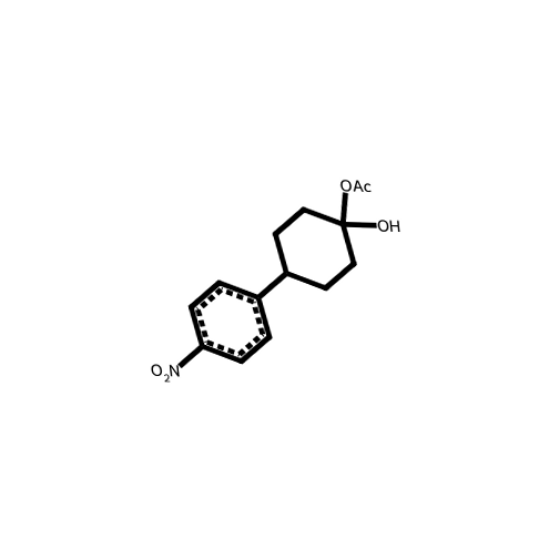 CC(=O)OC1(O)CCC(c2ccc([N+](=O)[O-])cc2)CC1